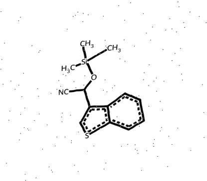 C[Si](C)(C)OC(C#N)c1csc2ccccc12